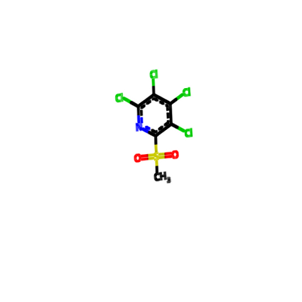 CS(=O)(=O)c1nc(Cl)c(Cl)c(Cl)c1Cl